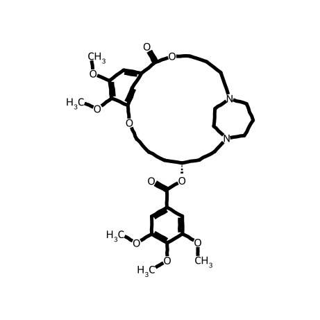 COc1cc(C(=O)O[C@@H]2CCCOc3cc(cc(OC)c3OC)C(=O)OCCCN3CCCN(CC2)CC3)cc(OC)c1OC